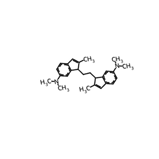 CC1=Cc2ccc(N(C)C)cc2C1CCC1C(C)=Cc2ccc(N(C)C)cc21